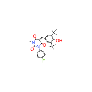 CN1C(=O)C(=Cc2cc(C(C)(C)C)c(O)c(C(C)(C)C)c2)C(=O)N(c2ccc(F)cc2)C1=O